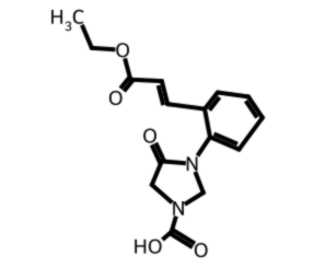 CCOC(=O)C=Cc1ccccc1N1CN(C(=O)O)CC1=O